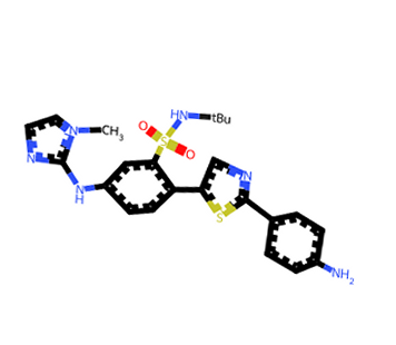 Cn1ccnc1Nc1ccc(-c2cnc(-c3ccc(N)cc3)s2)c(S(=O)(=O)NC(C)(C)C)c1